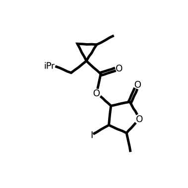 CC(C)CC1(C(=O)OC2C(=O)OC(C)C2I)CC1C